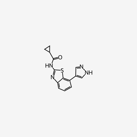 O=C(Nc1nc2cccc(-c3cn[nH]c3)c2s1)C1CC1